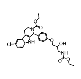 CCOC(=O)NC[C@H](O)COc1ccc([C@H]2C3=C(CCN2C(=O)OCC)C2C=C(Cl)C=CC2N3)cc1